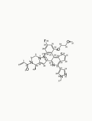 C=CC(=O)N1CCn2nc(-c3nc(-c4cnn(C)c4)c4ccsc4c3-c3c(F)cc(F)cc3OCCOC)cc2[C@H]1C